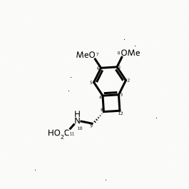 COc1cc2c(cc1OC)[C@@H](CNC(=O)O)C2